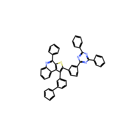 c1ccc(-c2cccc(-c3c(-c4cccc(-c5nc(-c6ccccc6)nc(-c6ccccc6)n5)c4)sc4c(-c5ccccc5)nc5ccccc5c34)c2)cc1